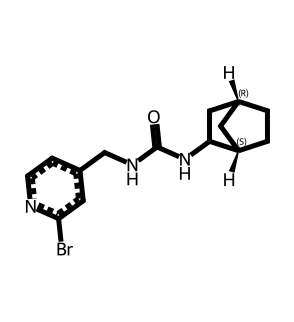 O=C(NCc1ccnc(Br)c1)NC1C[C@@H]2CC[C@H]1C2